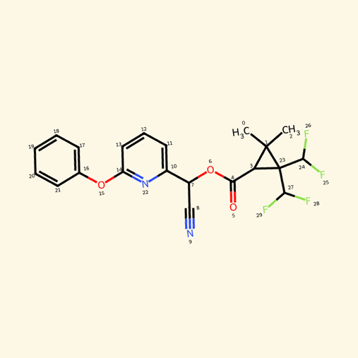 CC1(C)C(C(=O)OC(C#N)c2cccc(Oc3ccccc3)n2)C1(C(F)F)C(F)F